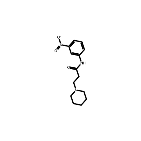 O=C(CCN1CCCCC1)Nc1cccc([N+](=O)[O-])c1